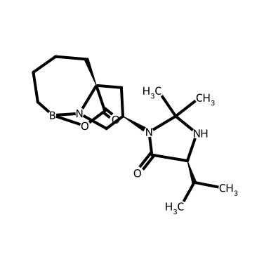 CC(C)[C@@H]1NC(C)(C)N([C@H]2CN3B4CCCC[C@@]3(C2)C(=O)O4)C1=O